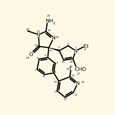 CCN1CC([C@]2(c3cccc(-c4cccnc4F)c3)N=C(N)N(C)C2=O)C=C1C=O